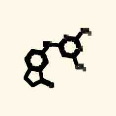 Cc1cc(Nc2ccc3c(c2)C(=O)CC3)nc(N)n1